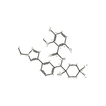 CCn1cc(-c2cccc(C(NC(=O)c3c(Cl)ccc(Cl)c3OC)C3(O)CCC(F)(F)CC3)c2)cn1